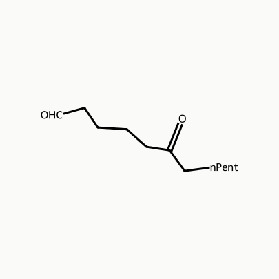 CCCCCCC(=O)CCCCC=O